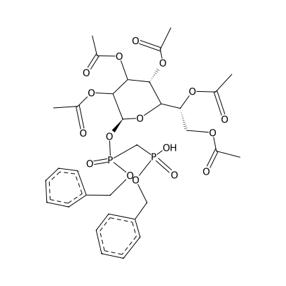 CC(=O)OC[C@@H](OC(C)=O)C1O[C@@H](OP(=O)(CP(=O)(O)OCc2ccccc2)OCc2ccccc2)C(OC(C)=O)C(OC(C)=O)[C@@H]1OC(C)=O